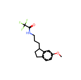 COc1ccc2c(c1)C(CCCNC(=O)C(F)(F)F)CC2